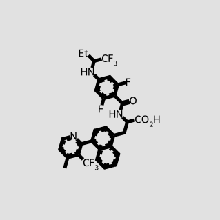 CCC(Nc1cc(F)c(C(=O)NC(Cc2ccc(-c3nccc(C)c3C(F)(F)F)c3ccccc23)C(=O)O)c(F)c1)C(F)(F)F